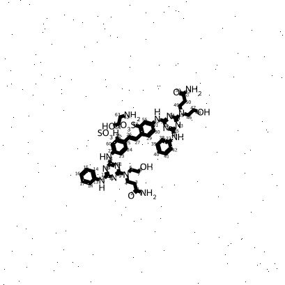 NC(=O)CCN(CCO)c1nc(Nc2ccccc2)nc(Nc2ccc(C=Cc3ccc(Nc4nc(Nc5ccccc5)nc(N(CCO)CCC(N)=O)n4)cc3S(=O)(=O)O)c(S(=O)(=O)O)c2)n1.NCCO